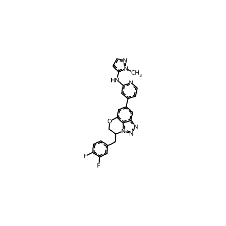 Cn1nccc1Nc1cc(-c2cc3c4c(c2)nnn4C(Cc2ccc(F)c(F)c2)CO3)ccn1